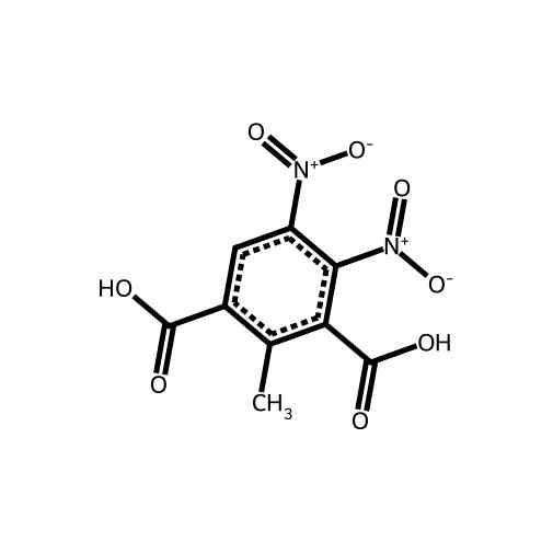 Cc1c(C(=O)O)cc([N+](=O)[O-])c([N+](=O)[O-])c1C(=O)O